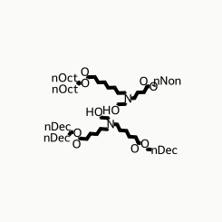 CCCCCCCCCCCOC(=O)CCCCCN(CCO)CCCCCC(=O)OC(CCCCCCCCCC)CCCCCCCCCC.CCCCCCCCCOC(=O)CCCN(CCO)CCCCCCCC(=O)OC(CCCCCCCC)CCCCCCCC